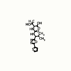 CC(C)C(NC(=O)NC(C(=O)O)C(C)O)c1nnc(-c2cccs2)o1